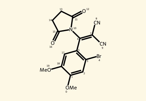 COc1cc(Br)c(C(=C(C#N)C#N)N2C(=O)CCC2=O)cc1OC